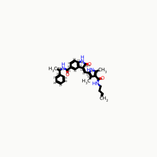 C=CCCNC(=O)c1c(C)[nH]c(C=C2C(=O)Nc3ccc(C(=O)NC(C)c4ccccc4)cc32)c1C